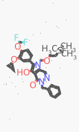 C[Si](C)(C)CCOCn1c(-c2ccc(OC(F)F)c(OC3CC3)c2)c(O)c2c(=O)n(Cc3ccccc3)ncc21